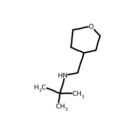 CC(C)(C)NCC1CCOCC1